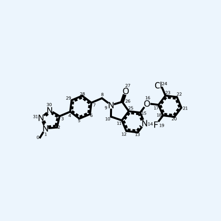 Cn1cc(-c2ccc(CN3Cc4ccnc(Oc5c(F)cccc5Cl)c4C3=O)cc2)nn1